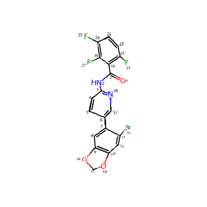 O=C(Nc1ccc(-c2cc3c(cc2Br)OCO3)cn1)c1c(F)ccc(F)c1F